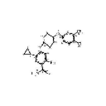 NC(=O)c1cc(C2CC2)c(CN2CCC(Oc3ccc(Cl)c(C(F)(F)F)c3)CC2)cc1F